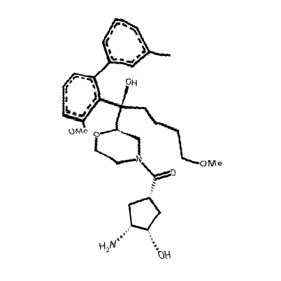 COCCCC[C@@](O)(c1c(OC)cccc1-c1cccc(C)c1)[C@H]1CN(C(=O)[C@H]2C[C@@H](N)[C@@H](O)C2)CCO1